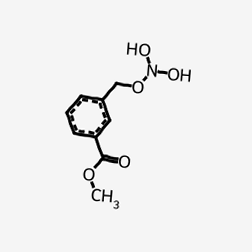 COC(=O)c1cccc(CON(O)O)c1